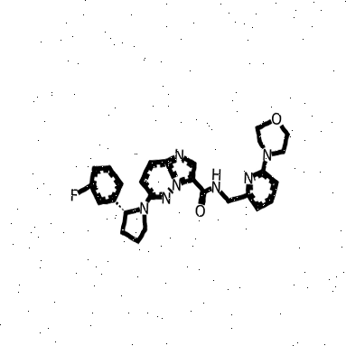 O=C(NCc1cccc(N2CCOCC2)n1)c1cnc2ccc(N3CCC[C@@H]3c3cccc(F)c3)nn12